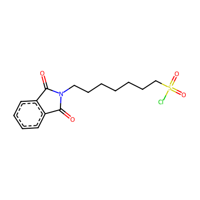 O=C1c2ccccc2C(=O)N1CCCCCCCS(=O)(=O)Cl